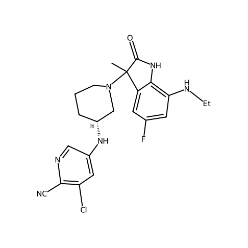 CCNc1cc(F)cc2c1NC(=O)C2(C)N1CCC[C@@H](Nc2cnc(C#N)c(Cl)c2)C1